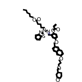 C=CC(=O)Oc1ccc(OCc2ccc3cc(OCCCOCC4CCC5OC5C4)ccc3c2)cc1/C=N/N(CCCCC(=O)OCCCCCC)c1nc2ccccc2s1